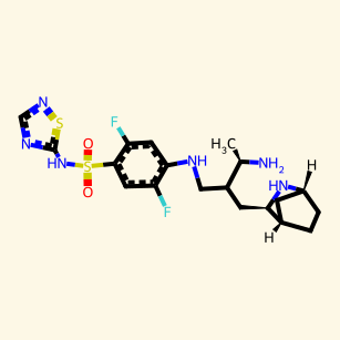 C[C@@H](N)C(CNc1cc(F)c(S(=O)(=O)Nc2ncns2)cc1F)C[C@H]1N[C@@H]2CC[C@H]1C2